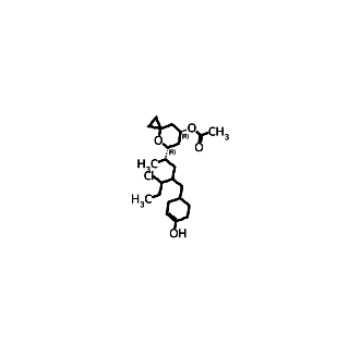 CCC(Cl)C(CC1CC=C(O)CC1)CC(C)[C@H]1C[C@@H](OC(C)=O)CC2(CC2)O1